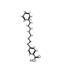 O=C(O)c1ccc(CCCCCCCCc2ccccc2)cc1